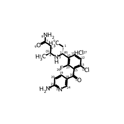 CC[C@@H](N[C@@H](C)CC(N)=O)c1ccc(Cl)c(C(=O)c2ccc(N)nc2)c1F.Cl